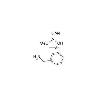 CC(C)=O.COP(O)OC.NCc1ccccc1